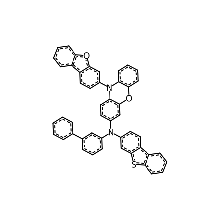 c1ccc(-c2cccc(N(c3ccc4c(c3)Oc3ccccc3N4c3ccc4c(c3)oc3ccccc34)c3ccc4c(c3)sc3ccccc34)c2)cc1